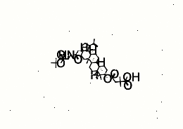 C=C(C)[C@@H]1CC[C@]2(CC(=O)NCC(=O)OC(C)(C)C)CC[C@]3(C)[C@H](CC[C@@H]4[C@@]5(C)CC[C@H](OC(=O)CC(C)(C)C(=O)O)C(C)(C)[C@@H]5CC[C@]43C)[C@@H]12